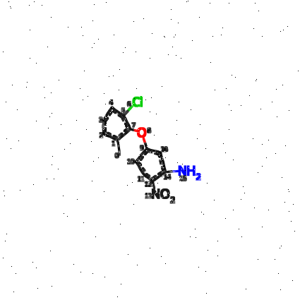 Cc1cccc(Cl)c1Oc1ccc([N+](=O)[O-])c(N)c1